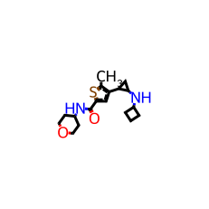 Cc1sc(C(=O)NC2CCOCC2)cc1C1CC1NC1CCC1